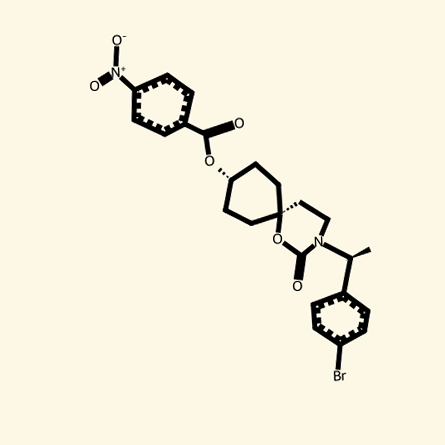 C[C@@H](c1ccc(Br)cc1)N1CC[C@]2(CC[C@@H](OC(=O)c3ccc([N+](=O)[O-])cc3)CC2)OC1=O